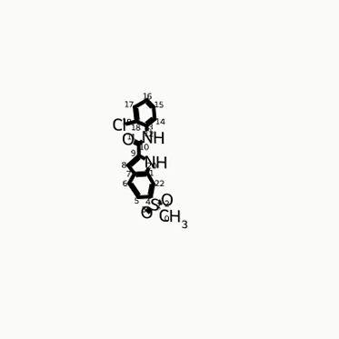 CS(=O)(=O)c1ccc2cc(C(=O)Nc3ccccc3Cl)[nH]c2c1